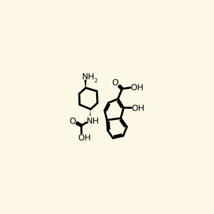 N[C@H]1CC[C@H](NC(=O)O)CC1.O=C(O)c1ccc2ccccc2c1O